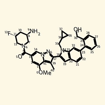 COc1cc(C(=O)N2C[C@H](N)C[C@@H](F)C2)cn2nc(-c3cc4ccc(-c5ccccc5CO)cc4n3CC3CC3)c(C)c12